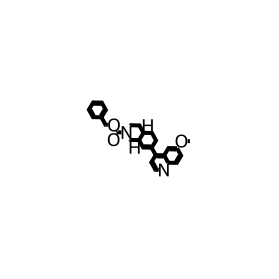 COc1ccc2nccc(C3=C[C@H]4CN(C(=O)OCc5ccccc5)CC[C@H]4CC3)c2c1